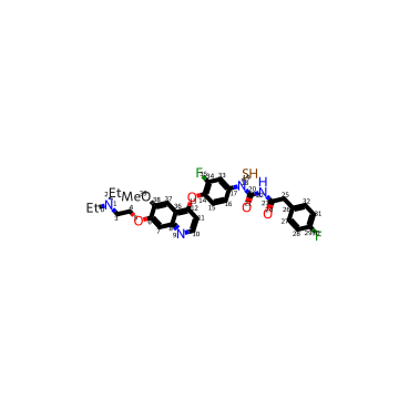 CCN(CC)CCOc1cc2nccc(Oc3ccc(N(S)C(=O)NC(=O)Cc4ccc(F)cc4)cc3F)c2cc1OC